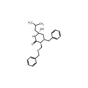 CC(C)C[C@@]1(O)CN(Cc2ccccc2)[C@@H](COCc2ccccc2)C(=O)N1